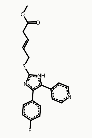 COC(=O)C/C=C/CSc1nc(-c2ccc(F)cc2)c(-c2ccncc2)[nH]1